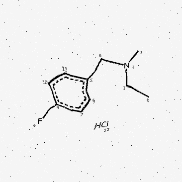 CCN(C)Cc1ccc(F)cc1.Cl